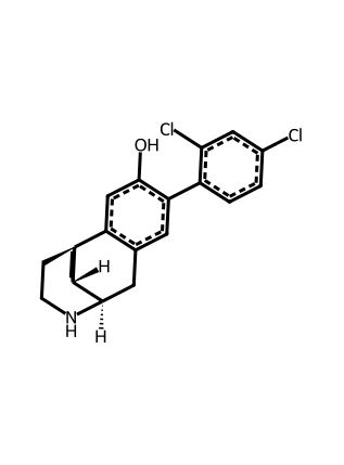 Oc1cc2c(cc1-c1ccc(Cl)cc1Cl)C[C@H]1NCC[C@@]23CCCC[C@@H]13